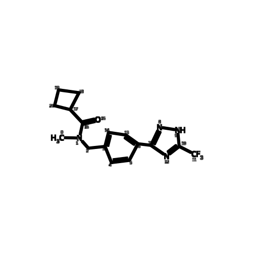 CN(Cc1ccc(-c2n[nH]c(C(F)(F)F)n2)cc1)C(=O)C1CCC1